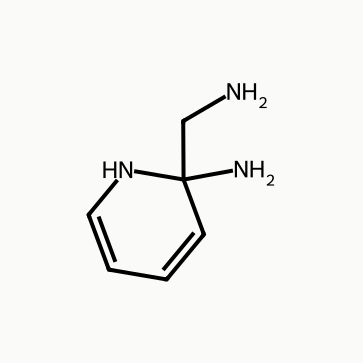 NCC1(N)C=CC=CN1